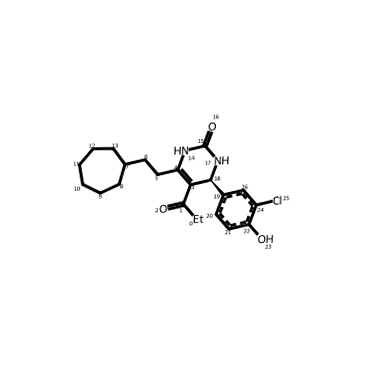 CCC(=O)C1=C(CCC2CCCCCC2)NC(=O)N[C@H]1c1ccc(O)c(Cl)c1